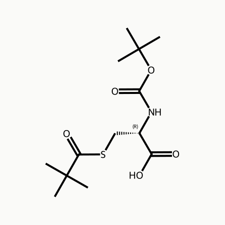 CC(C)(C)OC(=O)N[C@@H](CSC(=O)C(C)(C)C)C(=O)O